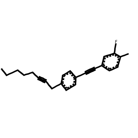 CCCCCC#CCc1ccc(C#Cc2ccc(C)c(F)c2)cc1